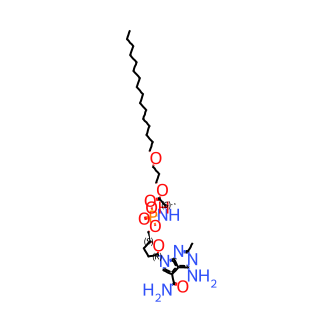 CCCCCCCCCCCCCCCCOCCCOC(=O)[C@H](C)NP(=O)(O)OC[C@@H]1CC[C@H](n2cc(C(N)=O)c3c(N)nc(C)nc32)O1